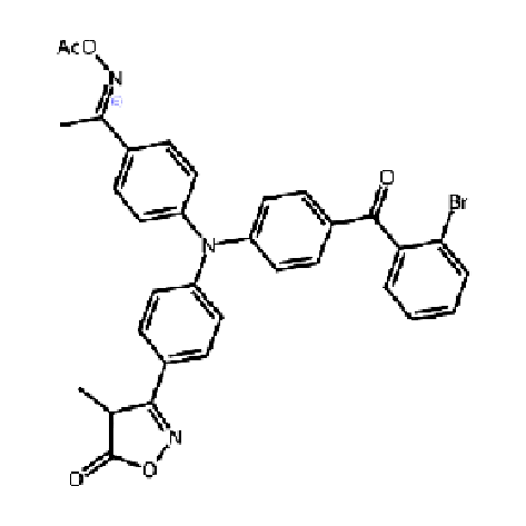 CC(=O)O/N=C(\C)c1ccc(N(c2ccc(C(=O)c3ccccc3Br)cc2)c2ccc(C3=NOC(=O)C3C)cc2)cc1